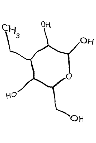 CCC1C(O)C(O)OC(CO)C1O